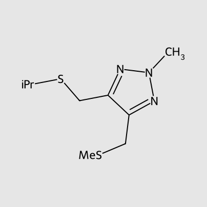 CSCc1nn(C)nc1CSC(C)C